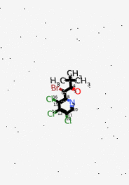 CC(C)(C)C(=O)C(Br)c1ncc(Cl)c(Cl)c1Cl